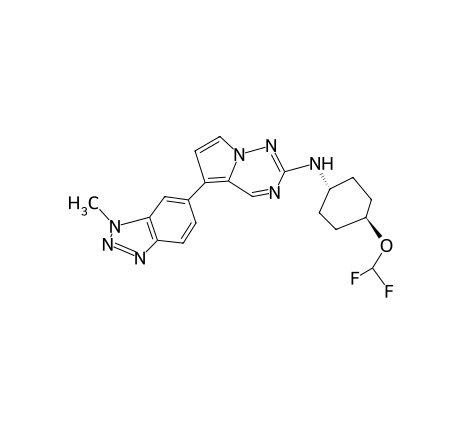 Cn1nnc2ccc(-c3ccn4nc(N[C@H]5CC[C@H](OC(F)F)CC5)ncc34)cc21